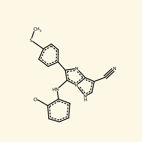 CSc1ccc(-c2nc3c(C#N)c[nH]n3c2Nc2ccccc2Cl)cc1